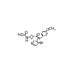 COc1ccc(CN(C(=O)C2CC(NC(=O)O)C2)c2cnccc2Br)cc1